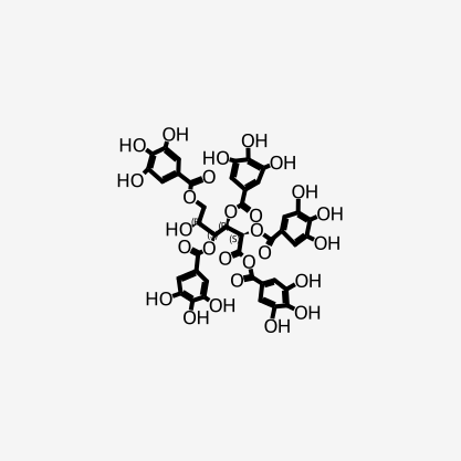 O=C(OC[C@@H](O)[C@H](OC(=O)c1cc(O)c(O)c(O)c1)[C@@H](OC(=O)c1cc(O)c(O)c(O)c1)[C@H](OC(=O)c1cc(O)c(O)c(O)c1)C(=O)OC(=O)c1cc(O)c(O)c(O)c1)c1cc(O)c(O)c(O)c1